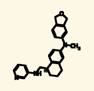 CN(c1ccc2c(c1)COC2)c1ccc2c(c1)CCC[C@H]2CNc1cccnc1